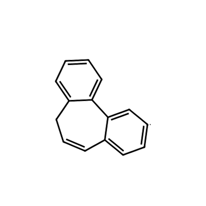 [c]1ccc2c(c1)-c1ccccc1CC=C2